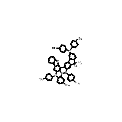 CC(C)(C)c1ccc(N2B3c4cc(C(C)(C)C)ccc4N(c4ccc(C(C)(C)C)cc4)c4cc5c(oc6ccccc65)c(c43)-c3cc4c(cc32)C(C)(C)c2ccc(N(c3ccc(C(C)(C)C)cc3)c3ccc(C(C)(C)C)cc3)cc2-4)cc1